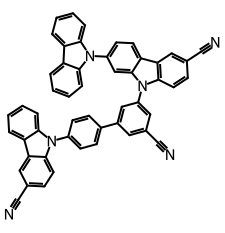 N#Cc1cc(-c2ccc(-n3c4ccccc4c4cc(C#N)ccc43)cc2)cc(-n2c3ccc(C#N)cc3c3ccc(-n4c5ccccc5c5ccccc54)cc32)c1